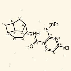 CCCSc1nc(Cl)ccc1C(=O)NC1CCC2CC3CC1CC23